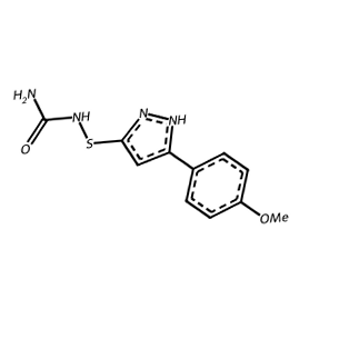 COc1ccc(-c2cc(SNC(N)=O)n[nH]2)cc1